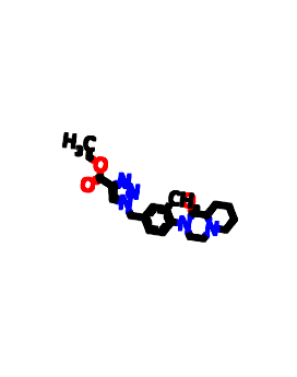 CCOC(=O)c1cn(Cc2ccc(N3CCN4CCCCC4C3=O)c(C)c2)nn1